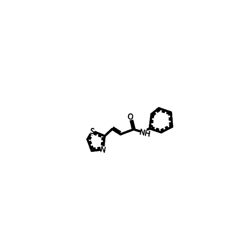 O=C(C=Cc1nccs1)Nc1ccccc1